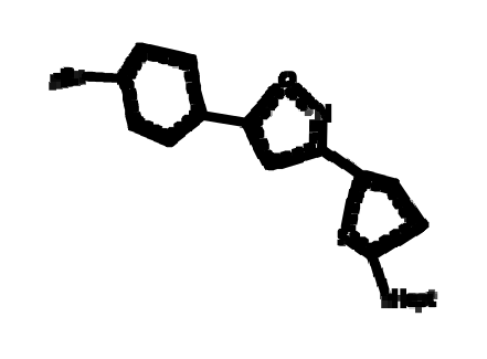 CCCCCCCc1ccc(-c2cc(-c3ccc(CCCC)cc3)on2)s1